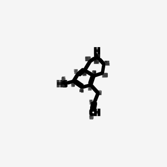 C#CCc1cc(S)cc2c1CCNC2